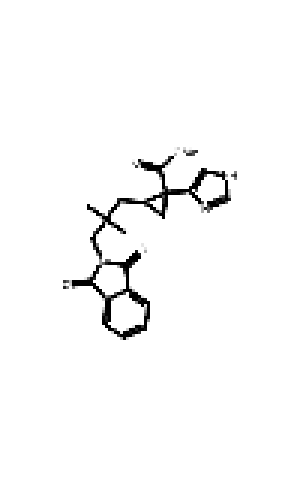 COC(=O)C1(c2c[nH]cn2)CC1CC(C)(C)CN1C(=O)c2ccccc2C1=O